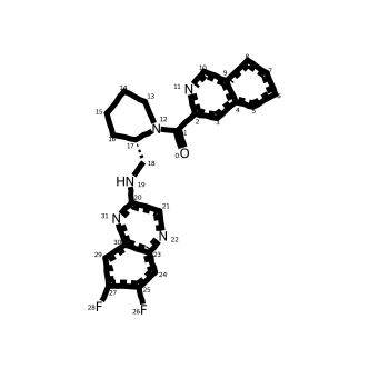 O=C(c1cc2ccccc2cn1)N1CCCC[C@H]1CNc1cnc2cc(F)c(F)cc2n1